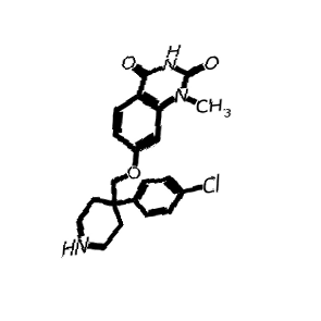 Cn1c(=O)[nH]c(=O)c2ccc(OCC3(c4ccc(Cl)cc4)CCNCC3)cc21